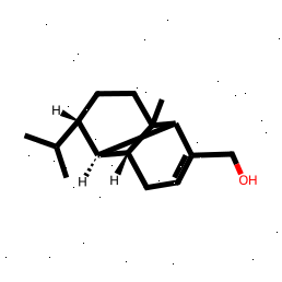 CC(C)[C@@H]1CCC2(C)C3C(CO)=CC[C@@H]2[C@H]31